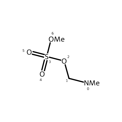 CNCOS(=O)(=O)OC